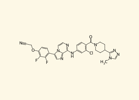 Cn1cnnc1C1CCN(C(=O)c2ccc(Nc3nccn4c(-c5ccc(OCC#N)c(F)c5F)cnc34)cc2Cl)CC1